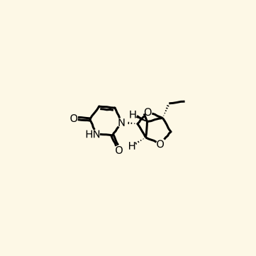 CC[C@@]12CO[C@@H]([C@H](n3ccc(=O)[nH]c3=O)O1)[C@@H]2C